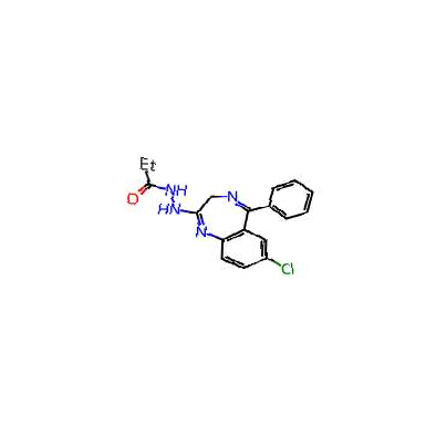 CCC(=O)NNC1=Nc2ccc(Cl)cc2C(c2ccccc2)=NC1